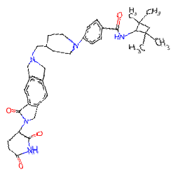 CC1(C)CC(C)(C)C1NC(=O)c1ccc(N2CCC(CN3Cc4cc5c(cc4C3)C(=O)N(C3CCC(=O)NC3=O)C5)CC2)cc1